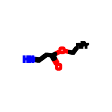 CCCCOC(=O)CC=N